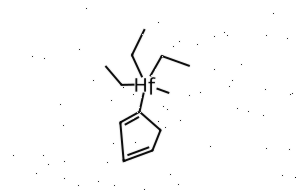 C[CH2][Hf]([CH3])([CH2]C)([CH2]C)[C]1=CC=CC1